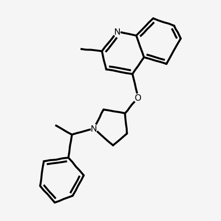 Cc1cc(OC2CCN(C(C)c3ccccc3)C2)c2ccccc2n1